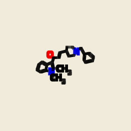 Cc1c(C(=O)C=CC2CCN(Cc3ccccc3)CC2)c2ccccc2n1C